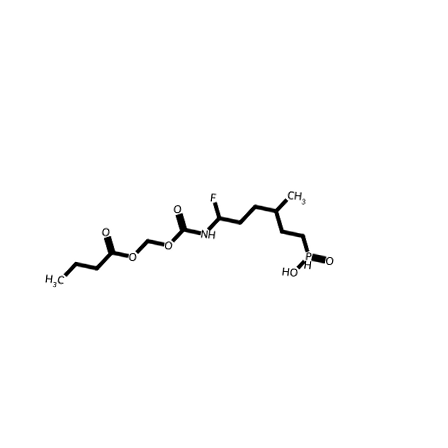 CCCC(=O)OCOC(=O)NC(F)CCC(C)CC[PH](=O)O